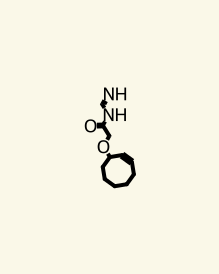 N=CNC(=O)COC1C#CCCCCC1